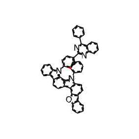 c1ccc(-c2nc(-c3ccc(-n4c5ccccc5c5ccc6c7c8oc9ccccc9c8ccc7n(-c7ccccc7)c6c54)cc3)nc3ccccc23)cc1